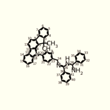 CC1(C)c2ccccc2-c2ccc3c4ccccc4n(-c4ccc(C/N=C(\NC(N)c5ccccc5)c5ccccc5)cc4)c3c21